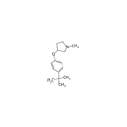 CN1CCC(Oc2ccc(C(C)(C)C)cc2)C1